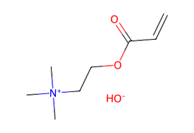 C=CC(=O)OCC[N+](C)(C)C.[OH-]